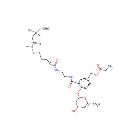 CC(C)C(C)(CC=O)CC(=O)N(C)CCCCCC(=O)NCCNC(=O)c1cc(COC(=O)CN)ccc1OC1CC(O)C[C@@H](C(=O)O)O1